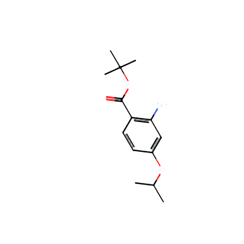 CC(C)Oc1ccc(C(=O)OC(C)(C)C)c(N)c1